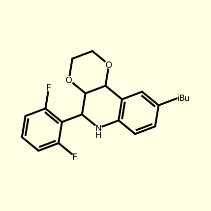 CCC(C)c1ccc2c(c1)C1OCCOC1C(c1c(F)cccc1F)N2